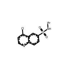 CC(C)NS(=O)(=O)c1ccc2nccc(Cl)c2c1